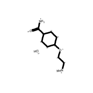 CNCCOC1CCC(C(N)=O)CC1.Cl